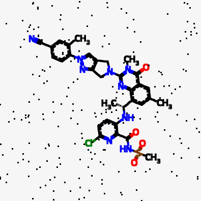 Cc1cc([C@@H](C)Nc2ccc(Cl)nc2C(=O)NS(C)(=O)=O)c2nc(N3Cc4cn(-c5ccc(C#N)cc5C)nc4C3)n(C)c(=O)c2c1